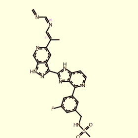 C=N/C=N\C=C(/C)c1cc2c(-c3nc4c(-c5cc(F)cc(CNS(C)(=O)=O)c5)nccc4[nH]3)n[nH]c2cn1